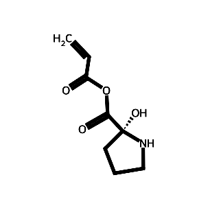 C=CC(=O)OC(=O)[C@]1(O)CCCN1